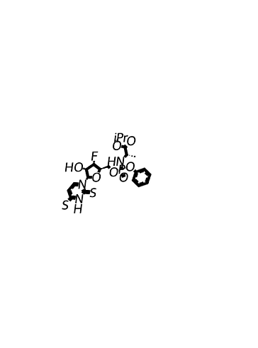 CC(C)OC(=O)[C@H](C)NP(=O)(OC[C@H]1O[C@@H](n2ccc(=S)[nH]c2=S)[C@@H](O)[C@H]1F)Oc1ccccc1